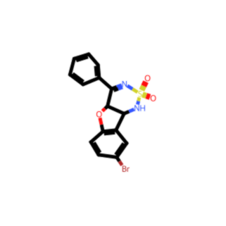 O=S1(=O)N=C(c2ccccc2)C2Oc3ccc(Br)cc3C2N1